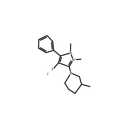 CC1CCCN(c2c(F)c(-c3ccccc3)n(C)[n+]2C)C1.[I-]